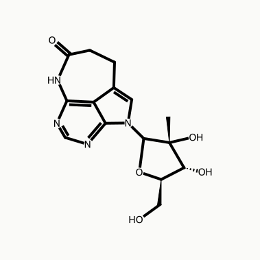 C[C@]1(O)C(n2cc3c4c(ncnc42)NC(=O)CC3)O[C@H](CO)[C@H]1O